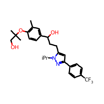 Cc1cc(C(O)CCc2cc(-c3ccc(C(F)(F)F)cc3)nn2C(C)C)ccc1OC(C)(C)CO